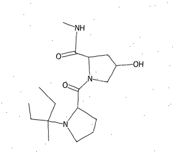 CCC(C)(CC)N1CCCC1C(=O)N1CC(O)CC1C(=O)NC